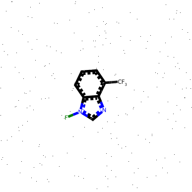 Fn1[c]nc2c(C(F)(F)F)cccc21